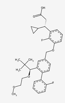 COCCO[C@H](c1cc(COc2cccc([C@@H](CC(=O)O)C3CC3)c2F)ccc1-c1ccccc1F)C(C)(C)C